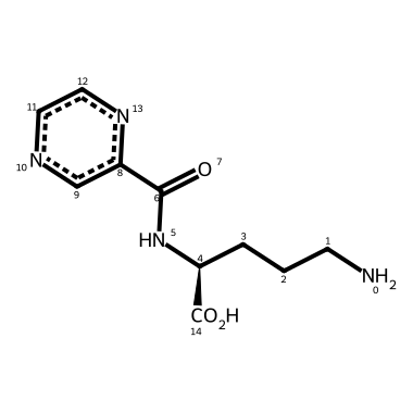 NCCC[C@H](NC(=O)c1cnccn1)C(=O)O